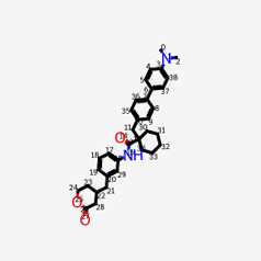 CN(C)c1ccc(-c2ccc(CC3(C(=O)Nc4cccc(CC5CCOC(=O)C5)c4)CCCCC3)cc2)cc1